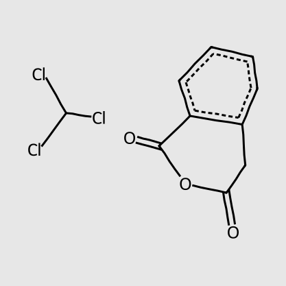 ClC(Cl)Cl.O=C1Cc2ccccc2C(=O)O1